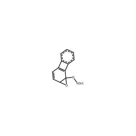 CCCCCCCCOC12OC1C=CC1=C2c2ccccc21